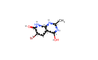 Cc1nc(O)c2cc(Br)c(=O)[nH]c2n1